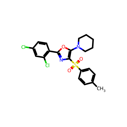 Cc1ccc(S(=O)(=O)c2nc(-c3ccc(Cl)cc3Cl)oc2N2CCCCC2)cc1